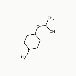 CC(O)OC1CCN(C)CC1